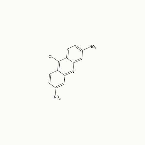 O=[N+]([O-])c1ccc2c(Cl)c3ccc([N+](=O)[O-])cc3nc2c1